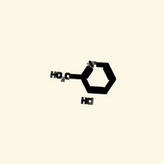 Cl.O=C(O)C1=[N+]C=CC=C1